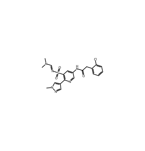 CN(C)/C=N/S(=O)(=O)c1cc(NC(=O)Cc2ccccc2Cl)cnc1-c1cnn(C)c1